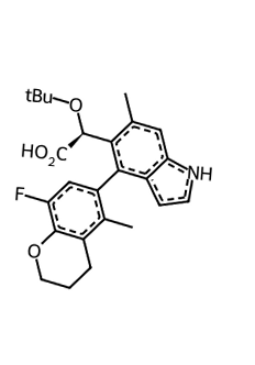 Cc1cc2[nH]ccc2c(-c2cc(F)c3c(c2C)CCCO3)c1[C@H](OC(C)(C)C)C(=O)O